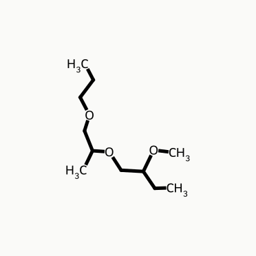 CCCOCC(C)OCC(CC)OC